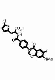 CNc1cc2c(cc1F)C(=O)N(c1ccc(C(=O)NC(Cc3ccc(Cl)s3)C(=O)O)cc1)CO2